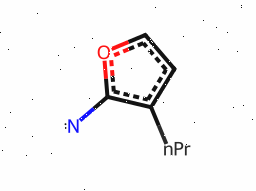 CCCc1ccoc1[N]